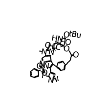 Cn1cc(-c2c3c4c(ncc5c4n(c(=O)n5C)[C@H]4C[C@H](NC(=O)OC(C)(C)C)[C@@H](C4)OCC(=O)Cc4ccc-3cc4)n2S(=O)(=O)c2ccccc2)c(F)n1